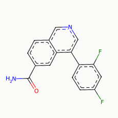 NC(=O)c1ccc2cncc(-c3ccc(F)cc3F)c2c1